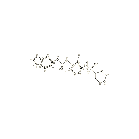 O=C(Nc1c(F)ccc(NS(=O)(=O)C2CCOCC2)c1F)Oc1cnc2[nH]ccc2c1